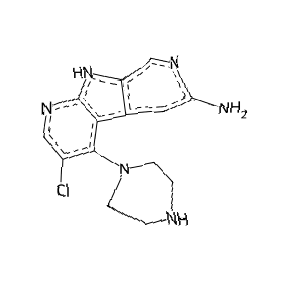 Nc1cc2c(cn1)[nH]c1ncc(Cl)c(N3CCNCC3)c12